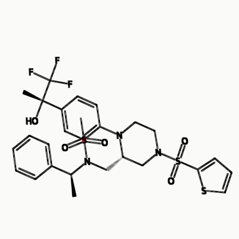 C[C@@H](c1ccccc1)N(C[C@H]1CN(S(=O)(=O)c2cccs2)CCN1c1ccc([C@](C)(O)C(F)(F)F)cc1)S(C)(=O)=O